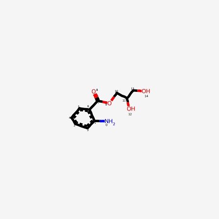 Nc1ccccc1C(=O)OCC(O)CO